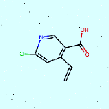 C=Cc1cc(Cl)ncc1C(=O)O